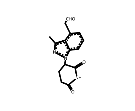 Cc1nn(C2CCC(=O)NC2=O)c2cccc(CC=O)c12